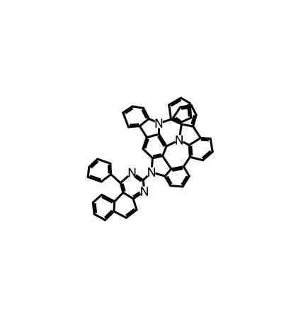 c1ccc(-c2nc(-n3c4cccc5c6cccc7c8ccccc8n(c67)c6c(c54)c3cc3c4ccccc4n(-c4ccccc4)c36)nc3ccc4ccccc4c23)cc1